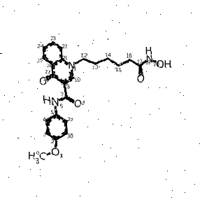 COc1ccc(NC(=O)c2cn(CCCCCC(=O)NO)c3ccccc3c2=O)cc1